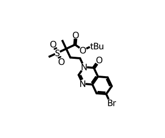 CC(C)(C)OC(=O)C(C)(CCn1cnc2cc(Br)ccc2c1=O)S(C)(=O)=O